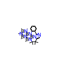 CB1N(C)B(C)N2B(N1C)N1B3N(B2C)C(C)(C)C(C)(C)c2cnc(n23)-c2ccccc21